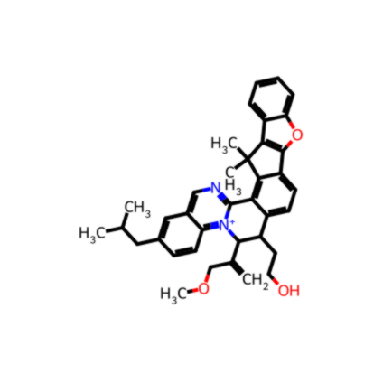 C=C(COC)C1C(CCO)c2ccc3c(c2-c2ncc4cc(CC(C)C)ccc4[n+]21)C(C)(C)c1c-3oc2ccccc12